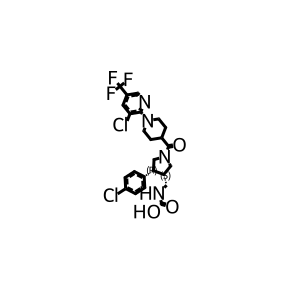 O=C(O)NC[C@H]1CN(C(=O)C2CCN(c3ncc(C(F)(F)F)cc3Cl)CC2)C[C@H]1c1ccc(Cl)cc1